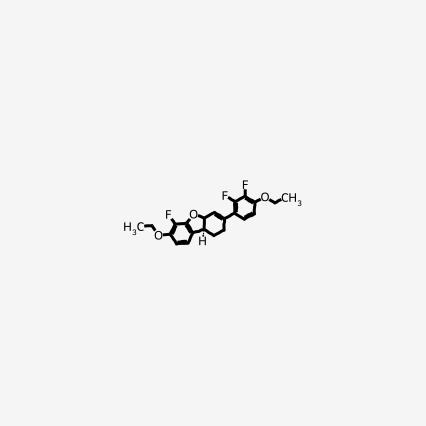 CCOc1ccc(C2=CC3Oc4c(ccc(OCC)c4F)[C@@H]3CC2)c(F)c1F